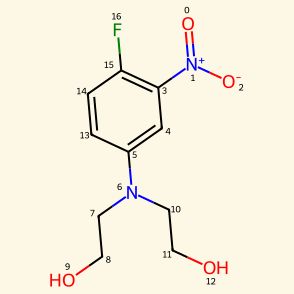 O=[N+]([O-])c1cc(N(CCO)CCO)ccc1F